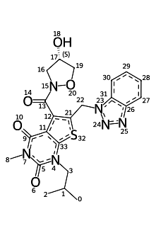 CC(C)Cn1c(=O)n(C)c(=O)c2c(C(=O)N3C[C@H](O)CO3)c(Cn3nnc4ccccc43)sc21